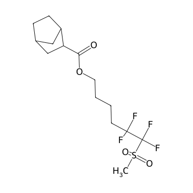 CS(=O)(=O)C(F)(F)C(F)(F)CCCCOC(=O)C1CC2CCC1C2